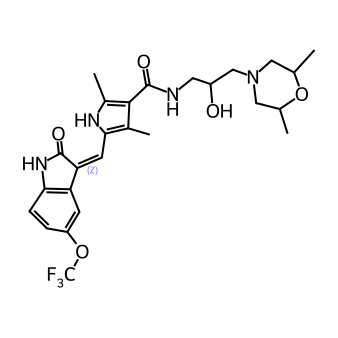 Cc1[nH]c(/C=C2\C(=O)Nc3ccc(OC(F)(F)F)cc32)c(C)c1C(=O)NCC(O)CN1CC(C)OC(C)C1